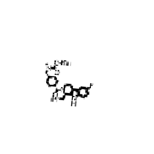 CC(C)CC1c2[nH]c3ccc(F)cc3c2CCN1C(=O)[C@H]1CC[C@H](CN(C)C(=O)OC(C)(C)C)CC1